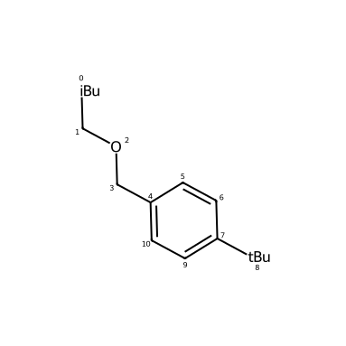 CCC(C)COCc1ccc(C(C)(C)C)cc1